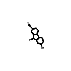 N#Cc1ccc2c(c1)C(=O)c1cc(Br)ccc1-2